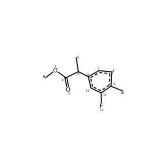 COC(=O)C(C)c1ccc(C)c(F)c1